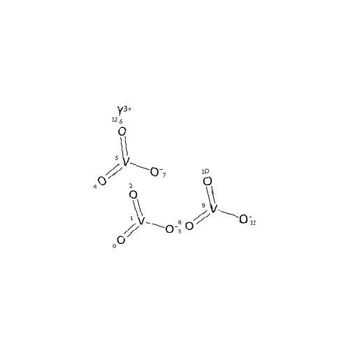 [O]=[V](=[O])[O-].[O]=[V](=[O])[O-].[O]=[V](=[O])[O-].[Y+3]